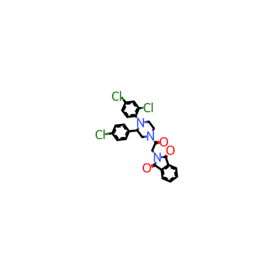 O=C(CN1C(=O)c2ccccc2C1=O)N1CCN(c2ccc(Cl)cc2Cl)C(c2ccc(Cl)cc2)C1